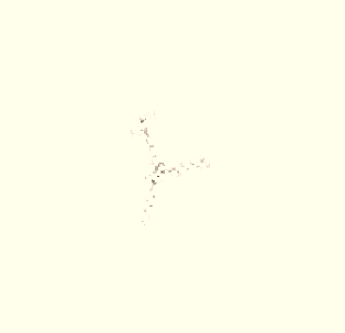 CCCCCCCCOC(=O)C(C)(CCCCCCCCNCCO)C(=O)OCCCCCCCC